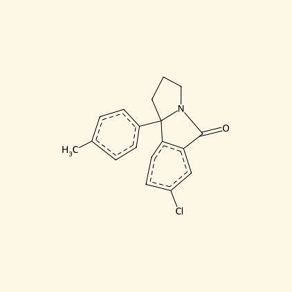 Cc1ccc(C23CCCN2C(=O)c2cc(Cl)ccc23)cc1